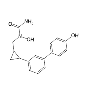 NC(=O)N(O)CC1CC1c1cccc(-c2ccc(O)cc2)c1